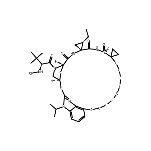 CC[C@@H]1C[C@@]12NC(=O)[C@@H]1C[C@H](CN1C(=O)[C@@H](NCl)C(C)(C)C)Oc1nc3c(cccc3n1C(C)C)CCCCCCCCCC1(CC1)S(=O)(=O)NC2=O